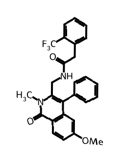 COc1ccc2c(=O)n(C)c(CNC(=O)Cc3ccccc3C(F)(F)F)c(-c3ccccc3)c2c1